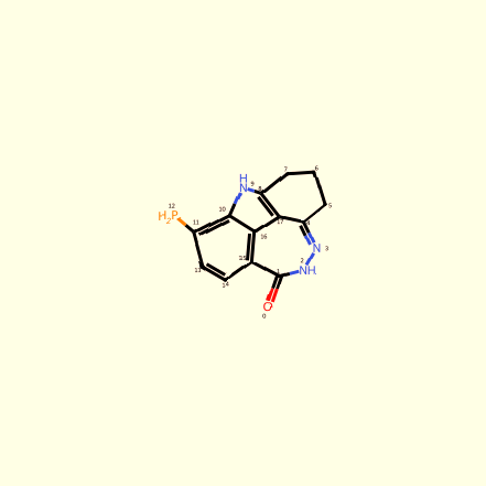 O=C1NN=C2CCCc3[nH]c4c(P)ccc1c4c32